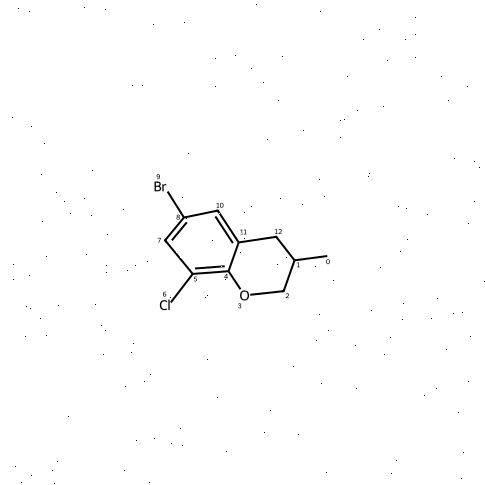 CC1COc2c(Cl)cc(Br)cc2C1